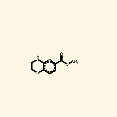 COC(=O)c1ccc2c(n1)NCCO2